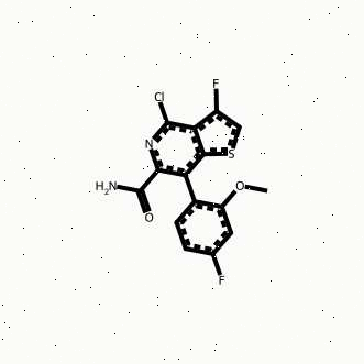 COc1cc(F)ccc1-c1c(C(N)=O)nc(Cl)c2c(F)csc12